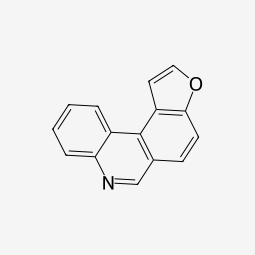 c1ccc2c(c1)ncc1ccc3occc3c12